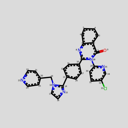 O=c1c2ccccc2nc(-c2ccc(-c3nccn3Cc3ccncc3)cc2)n1-c1ccc(Cl)cn1